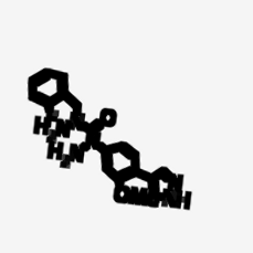 COc1cc(N(N)C(=O)N(N)Cc2ccccc2F)ccc1-c1cn[nH]c1